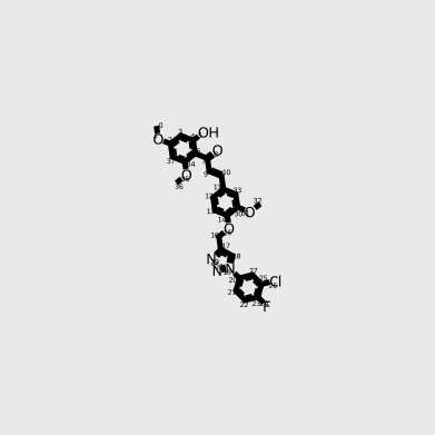 COc1cc(O)c(C(=O)/C=C/c2ccc(OCc3cn(-c4ccc(F)c(Cl)c4)nn3)c(OC)c2)c(OC)c1